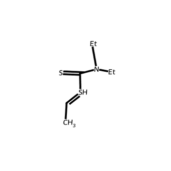 CC=[SH]C(=S)N(CC)CC